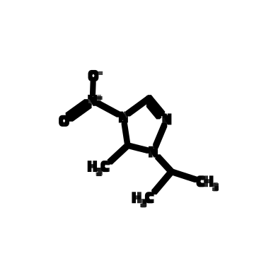 CC(C)N1N=CN([N+](=O)[O-])C1C